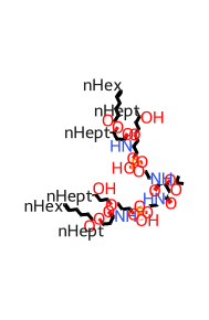 CCCCCC/C=C/CCCC(=O)O[C@H](CCCCCCC)CC(=O)NC(COCC[C@H](O)CCCCCCC)COP(=O)(O)OCCNC(=O)[C@H]1OC(C)(C)O[C@H]1C(=O)NCCOP(=O)(O)OCC(COCC[C@H](O)CCCCCCC)NC(=O)C[C@@H](CCCCCCC)OC(=O)CCC/C=C/CCCCCC